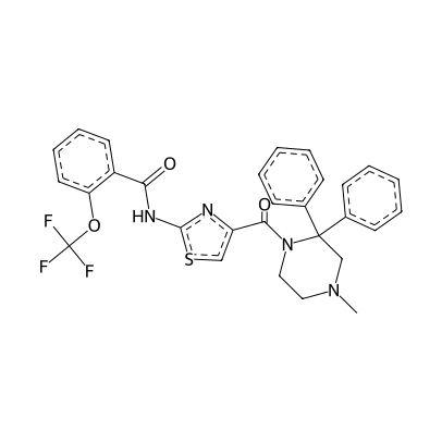 CN1CCN(C(=O)c2csc(NC(=O)c3ccccc3OC(F)(F)F)n2)C(c2ccccc2)(c2ccccc2)C1